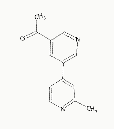 CC(=O)c1cncc(-c2ccnc(C)c2)c1